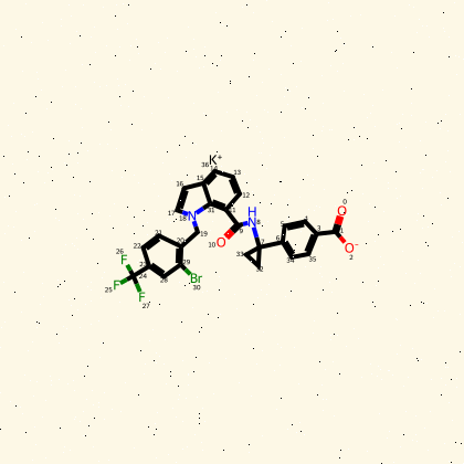 O=C([O-])c1ccc(C2(NC(=O)c3cccc4ccn(Cc5ccc(C(F)(F)F)cc5Br)c34)CC2)cc1.[K+]